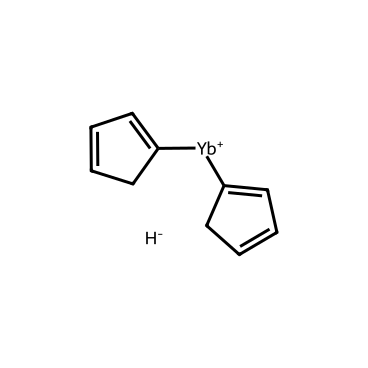 C1=CC[C]([Yb+][C]2=CC=CC2)=C1.[H-]